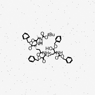 C[C@H](NC(=O)OC(C)(C)C)C(=O)N[C@H](CCC(=O)N[C@H](CSC[C@H](NC(=O)OCc1ccccc1)C(O)OCc1ccccc1)C(=O)OCc1ccccc1)C(=O)OCc1ccccc1